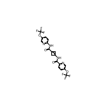 O=C(NC12CC(C(=O)Nc3ccc(OC(F)(F)F)cn3)(C1)C2)c1ccc(OC(F)(F)F)cn1